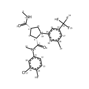 CNC(=O)[C@H]1C[C@@H](C(=O)N(C)c2ccc(F)c(Cl)c2)N(c2cc(C(F)(F)F)cc(C)n2)C1